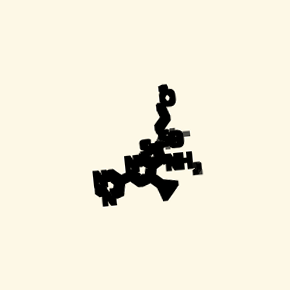 COCCC[S@+]([O-])c1sc2nc(-c3cncnc3)cc(C3CC3)c2c1N